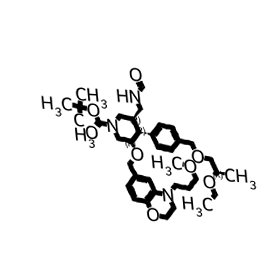 CCO[C@H](C)COCc1ccc([C@H]2[C@H](CNC=O)CN(C(=O)OC(C)(C)C)C[C@@H]2OCc2ccc3c(c2)N(CCCOC)CCO3)cc1